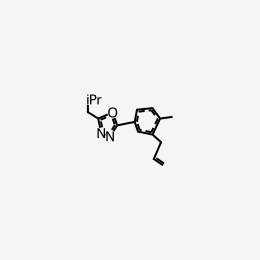 C=CCc1cc(-c2nnc(CC(C)C)o2)ccc1C